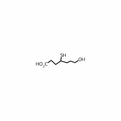 O=C(O)CCC(S)CCCO